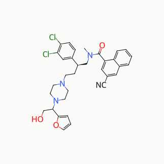 CN(C[C@@H](CCN1CCN(C(CO)c2ccco2)CC1)c1ccc(Cl)c(Cl)c1)C(=O)c1cc(C#N)cc2ccccc12